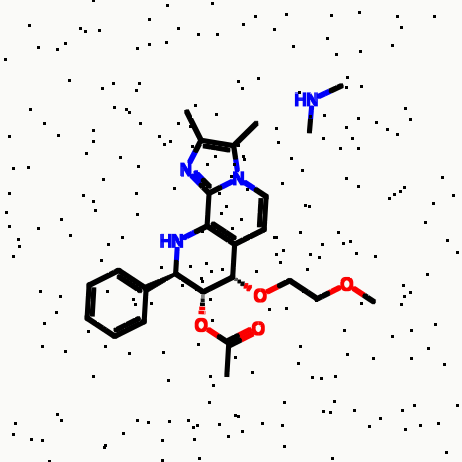 CNC.COCCO[C@H]1c2ccn3c(C)c(C)nc3c2N[C@H](c2ccccc2)[C@H]1OC(C)=O